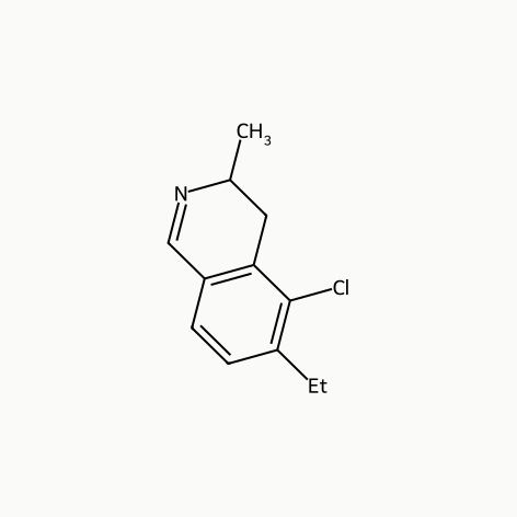 CCc1ccc2c(c1Cl)CC(C)N=C2